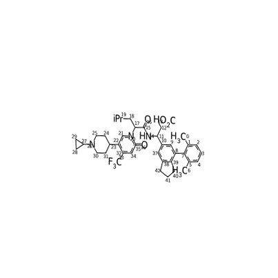 Cc1cccc(C)c1-c1cc(C(CC(=O)O)NC(=O)C(CC(C)C)n2cc(C3CCN(C4CC4)CC3)c(C(F)(F)F)cc2=O)cc2c1CCC2